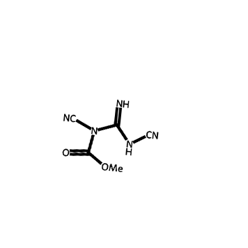 COC(=O)N(C#N)C(=N)NC#N